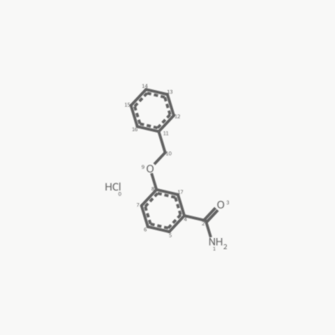 Cl.NC(=O)c1cccc(OCc2ccccc2)c1